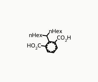 CCCCCCC(CCCCCC)c1c(C(=O)O)cccc1C(=O)O